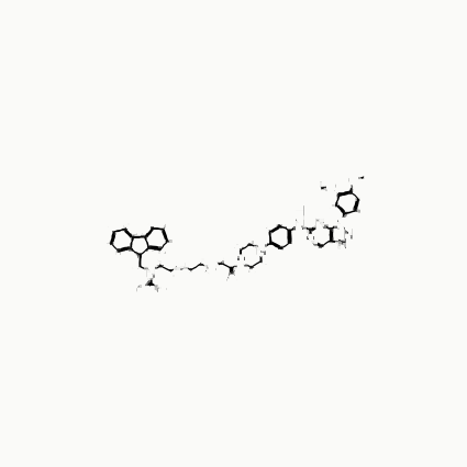 COc1ccc(-n2nnc3cnc(Nc4ccc(N5CCN(C(=O)COCCOCCN(CC6c7ccccc7-c7ccccc76)C(=O)O)CC5)cc4)nc32)cc1OC